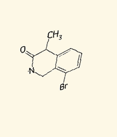 CC1C(=O)[N]Cc2c(Br)cccc21